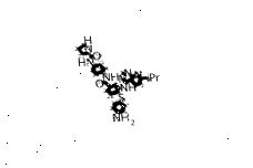 CC(C)c1ccc2c(Nc3cc(C(=O)Nc4ccc(NC(=O)[C@@H]5CCCN5)cc4)ccc3Sc3ccc(N)cc3)ncnc2n1